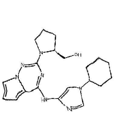 OC[C@@H]1CCCN1c1nc(Nc2cn(C3CCCCC3)cn2)c2cccn2n1